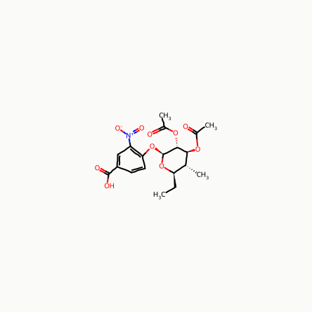 CC[C@H]1O[C@@H](Oc2ccc(C(=O)O)cc2[N+](=O)[O-])[C@H](OC(C)=O)[C@@H](OC(C)=O)[C@@H]1C